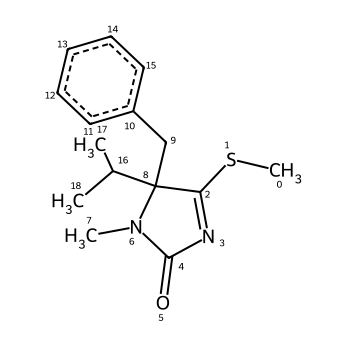 CSC1=NC(=O)N(C)C1(Cc1ccccc1)C(C)C